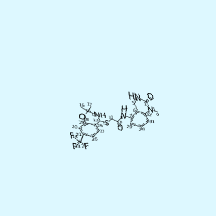 CN1C(=O)NCc2c(NC(=O)CSC3NC(C)(C)Oc4cc(C(F)(F)F)ccc43)cccc21